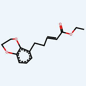 CCOC(=O)C=CCCc1cccc2c1OCCO2